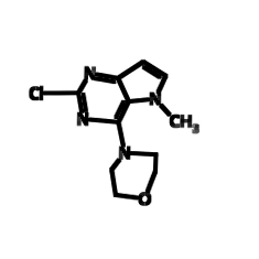 Cn1ccc2nc(Cl)nc(N3CCOCC3)c21